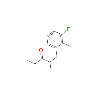 CCC(=O)C(C)Cc1cccc(F)c1C